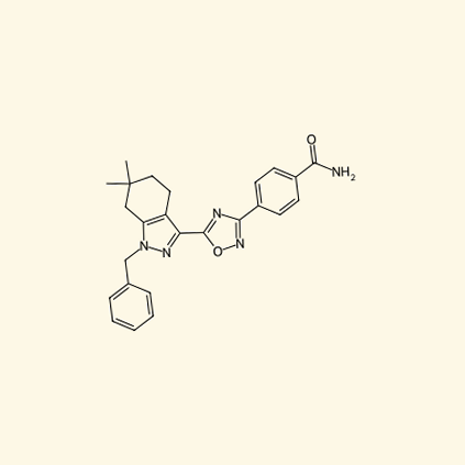 CC1(C)CCc2c(-c3nc(-c4ccc(C(N)=O)cc4)no3)nn(Cc3ccccc3)c2C1